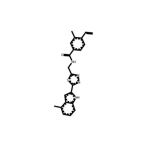 C=Cc1ccc(C(=O)NCc2nnc(-c3cc4c(C)cccc4[nH]3)s2)cc1C